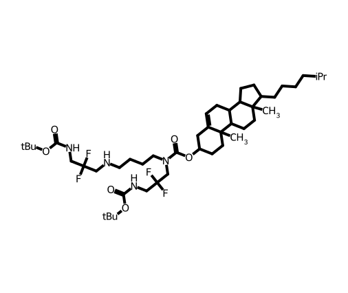 CC(C)CCCCC1CCC2C3CC=C4CC(OC(=O)N(CCCCNCC(F)(F)CNC(=O)OC(C)(C)C)CC(F)(F)CNC(=O)OC(C)(C)C)CCC4(C)C3CCC12C